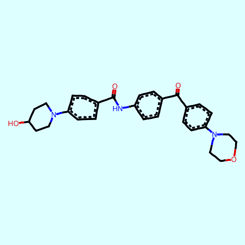 O=C(Nc1ccc(C(=O)c2ccc(N3CCOCC3)cc2)cc1)c1ccc(N2CCC(O)CC2)cc1